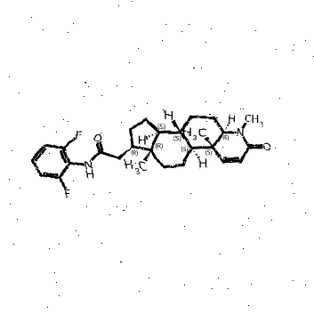 CN1C(=O)C=C[C@]2(C)[C@H]3CC[C@]4(C)[C@@H](CC(=O)Nc5c(F)cccc5F)CC[C@H]4[C@@H]3CC[C@@H]12